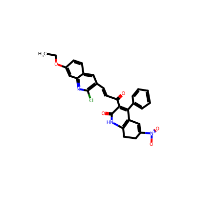 CCOc1ccc2cc(C=CC(=O)c3c(-c4ccccc4)c4c([nH]c3=O)CCC([N+](=O)[O-])=C4)c(Cl)nc2c1